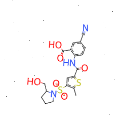 Cc1sc(C(=O)Nc2ccc(C#N)cc2C(=O)O)cc1S(=O)(=O)N1CCCC1CO